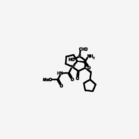 COC(=O)NC(=O)[N+]1(C(=O)[C@H](CC2CCCC2)CN(O)C=O)CCC[C@H]1C(N)=O